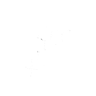 Cc1cc(O)ccc1[C@H](O)CNC(=O)OC(C)(C)C